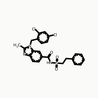 Cc1nc2ccc(C(=O)NS(=O)(=O)CCc3ccccc3)cc2n1Cc1ccc(Cl)cc1Cl